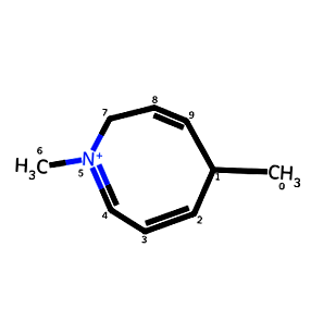 CC1/C=C\C=[N+](\C)C/C=C\1